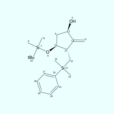 C=C1[C@H](O)C[C@H](O[Si](C)(C)C(C)(C)C)[C@H]1C[Si](C)(C)c1ccccc1